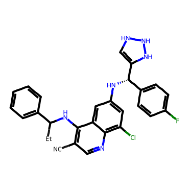 CCC(Nc1c(C#N)cnc2c(Cl)cc(N[C@H](C3=CNNN3)c3ccc(F)cc3)cc12)c1ccccc1